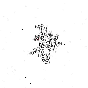 CC[C@H](C)[C@H](NC(=O)[C@H](Cc1ccc(O)cc1)NC(=O)[C@H](CCSC)NC(=O)[C@H](CS)NC(=O)[C@@H](N)C(C)C)C(=O)N[C@@H](CCC(=O)O)C(=O)N[C@@H](C)C(=O)N[C@@H](CC(C)C)C(=O)N[C@@H](CC(=O)O)C(=O)N[C@@H](CCCCN)C(=O)N[C@@H](Cc1ccc(O)cc1)C(=O)N[C@@H](C)C(=O)N[C@@H](CS)C(=O)N[C@H](C(=O)O)C(C)C